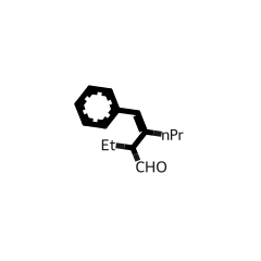 CCCC(=Cc1ccccc1)C(C=O)CC